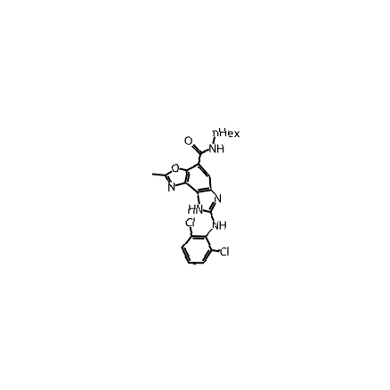 CCCCCCNC(=O)c1cc2nc(Nc3c(Cl)cccc3Cl)[nH]c2c2nc(C)oc12